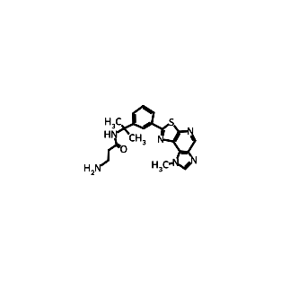 Cn1cnc2cnc3sc(-c4cccc(C(C)(C)NC(=O)CCN)c4)nc3c21